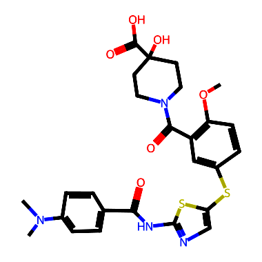 COc1ccc(Sc2cnc(NC(=O)c3ccc(N(C)C)cc3)s2)cc1C(=O)N1CCC(O)(C(=O)O)CC1